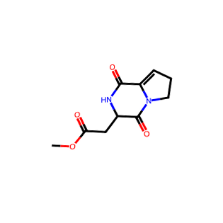 COC(=O)CC1NC(=O)C2=CCCN2C1=O